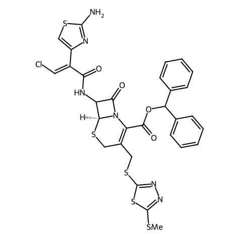 CSc1nnc(SCC2=C(C(=O)OC(c3ccccc3)c3ccccc3)N3C(=O)C(NC(=O)C(=CCl)c4csc(N)n4)[C@@H]3SC2)s1